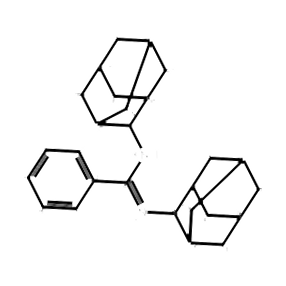 c1ccc(C(=NC2C3CC4CC(C3)CC2C4)NC2C3CC4CC(C3)CC2C4)cc1